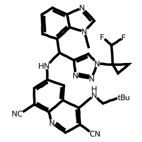 Cn1cnc2cccc(C(Nc3cc(C#N)c4ncc(C#N)c(NCC(C)(C)C)c4c3)c3cn(C4(C(F)F)CC4)nn3)c21